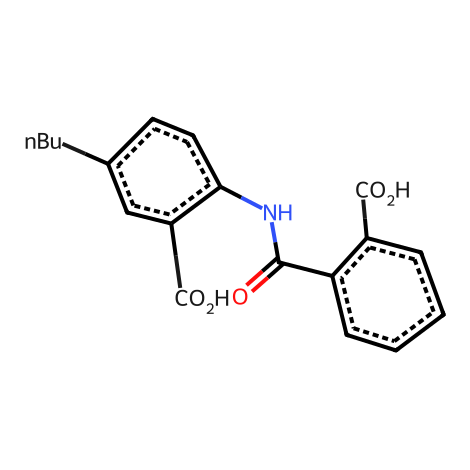 CCCCc1ccc(NC(=O)c2ccccc2C(=O)O)c(C(=O)O)c1